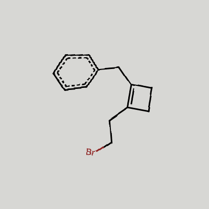 BrCCC1=C(Cc2ccccc2)CC1